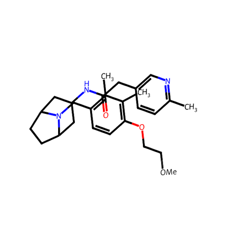 COCCOc1ccc(CN2C3CCC2CC(NC(=O)Cc2ccc(C)nc2)C3)c(C)c1C